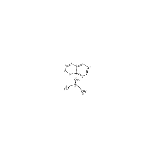 C1=Cc2ccccc2OC1.OB(O)O